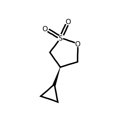 O=S1(=O)C[C@H](C2CC2)CO1